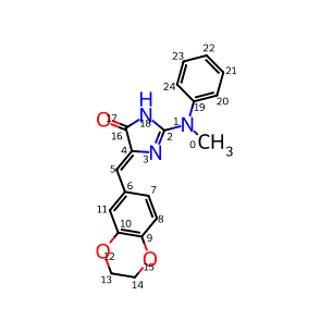 CN(C1=NC(=Cc2ccc3c(c2)OCCO3)C(=O)N1)c1ccccc1